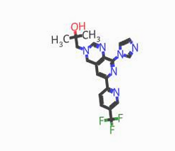 CC(C)(O)CN1C=Nc2c(cc(-c3ccc(C(F)(F)F)cn3)nc2-n2ccnc2)C1